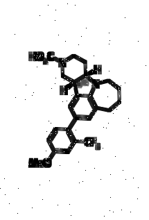 COc1ccc(-c2cc3c4c(c2)[C@@H]2CN(C(=O)O)CC[C@@H]2N4CCCC3)c(C(F)(F)F)c1